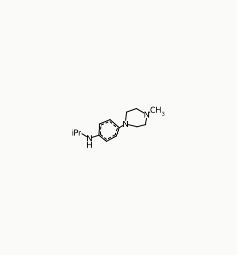 CC(C)Nc1ccc(N2CCN(C)CC2)cc1